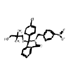 CC(C)(CO)COC1(C2=CC=C(Cl)CC2)c2ccccc2C(=O)N1Cc1ccc([N+](=O)[O-])cc1